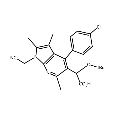 Cc1nc2c(c(C)c(C)n2CC#N)c(-c2ccc(Cl)cc2)c1C(OC(C)(C)C)C(=O)O